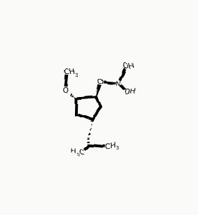 CO[C@H]1C[C@@H](C(C)C)C[C@@H]1ON(O)O